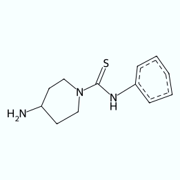 NC1CCN(C(=S)Nc2ccccc2)CC1